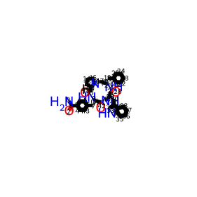 NC(=O)c1ccc(C[C@@H]2NC(=O)[C@H]3CCCN3C[C@H](Cc3ccccc3)NC(=O)[C@@H](Cc3c[nH]c4ccccc34)NC2=O)cc1